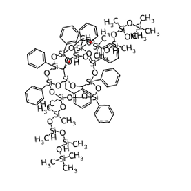 C[SiH](O[SiH](C)O[Si](C)(C)O[Si]1(C)O[Si]2(c3ccccc3)OC3O[Si]4(Cc5ccccc5)O[Si](c5ccccc5)(O1)O[Si]1(c5ccccc5)O[Si]5(c6ccccc6)OC41O[SiH](Cc1ccccc1)O[Si](c1ccccc1)(O[Si](C)(O[Si](C)(C)O[SiH](C)O[Si](C)(O)O[Si](C)(C)C)O5)O[Si]3(c1ccccc1)O2)O[Si](C)(C)C